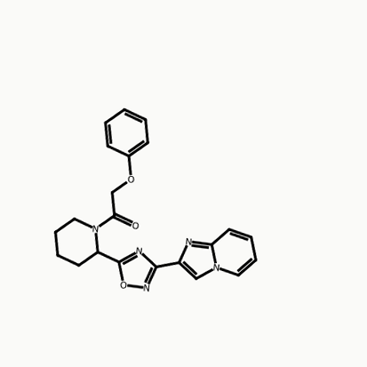 O=C(COc1ccccc1)N1CCCCC1c1nc(-c2cn3ccccc3n2)no1